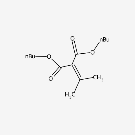 CCCCOC(=O)C(C(=O)OCCCC)=C(C)C